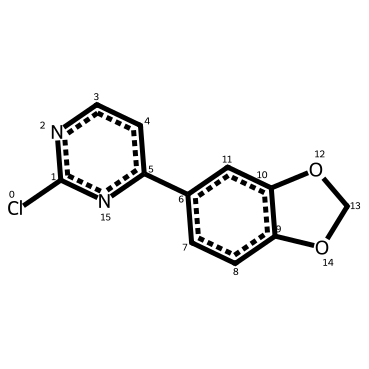 Clc1nccc(-c2ccc3c(c2)OCO3)n1